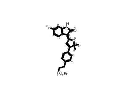 CCOC(=O)CCc1ccc(C2=CC(=C3C(=O)Nc4cc(F)ccc43)OC2(C)C)cc1